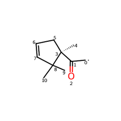 [CH2]C(=O)[C@]1(C)CC=CC1(C)C